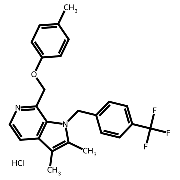 Cc1ccc(OCc2nccc3c(C)c(C)n(Cc4ccc(C(F)(F)F)cc4)c23)cc1.Cl